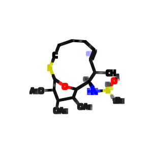 CC(=O)OC1C2OC(C(OC(C)=O)C1OC(C)=O)[C@H](N[S@+]([O-])C(C)(C)C)C(C)/C=C/CCCCS2